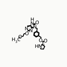 COCCOc1ncc2[nH]c(=O)n(Cc3cccc(COC(=O)[C@H]4CCCN4)c3)c2n1